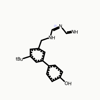 CC(C)(C)c1cc(CN/C=N\C=N)cc(-c2ccc(O)cc2)c1